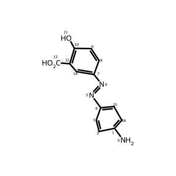 Nc1ccc(/N=N/c2ccc(O)c(C(=O)O)c2)cc1